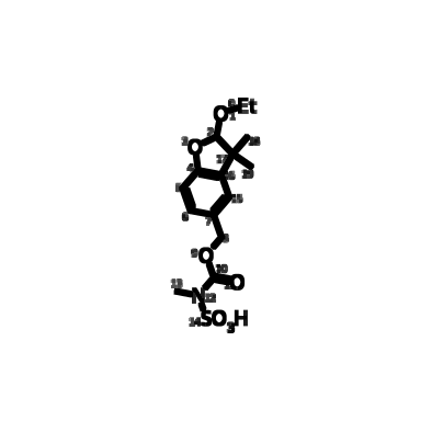 CCOC1Oc2ccc(COC(=O)N(C)S(=O)(=O)O)cc2C1(C)C